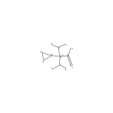 CC(=O)[Si](C(C)C)(C(C)C)C1CC1